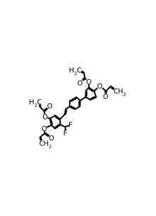 C=CC(=O)Oc1ccc(-c2ccc(/C=C/c3cc(OC(=O)C=C)c(OC(=O)C=C)cc3C(F)F)cc2)cc1OC(=O)C=C